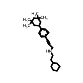 CC1(C)CC(c2ccc(C#CCNCCC3CCCCC3)cc2)CC(C)(C)C1